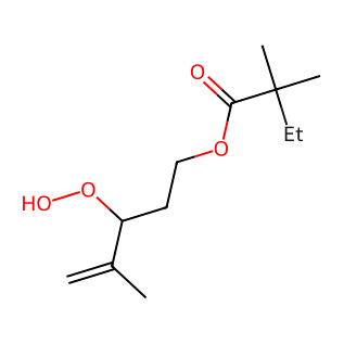 C=C(C)C(CCOC(=O)C(C)(C)CC)OO